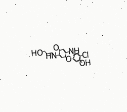 O=C1C=C(Nc2ccc(O)c(Cl)c2)C(=O)C=C1NCCCO